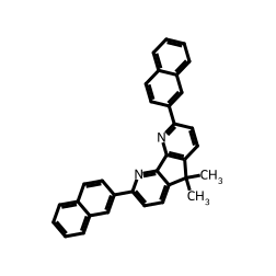 CC1(C)c2ccc(-c3ccc4ccccc4c3)nc2-c2nc(-c3ccc4ccccc4c3)ccc21